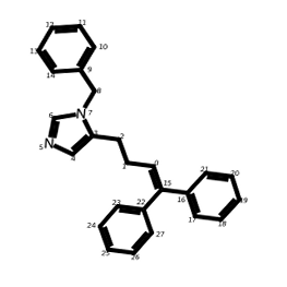 C(CCc1cncn1Cc1ccccc1)=C(c1ccccc1)c1ccccc1